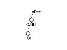 CCCCCCCCCCCCc1ccc(NC(=O)C=Cc2ccc(O)cc2)cc1